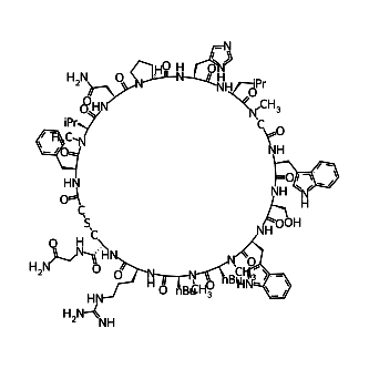 CCCC[C@H]1C(=O)N(C)[C@@H](CCCC)C(=O)N[C@@H](CCCNC(=N)N)C(=O)N[C@H](C(=O)NCC(N)=O)CSCC(=O)N[C@@H](Cc2ccccc2)C(=O)N(C)[C@@H](C(C)C)C(=O)N[C@@H](CC(N)=O)C(=O)N2CCC[C@H]2C(=O)N[C@@H](Cc2cnc[nH]2)C(=O)N[C@@H](CC(C)C)C(=O)N(C)CC(=O)N[C@@H](Cc2c[nH]c3ccccc23)C(=O)N[C@@H](CO)C(=O)N[C@@H](Cc2c[nH]c3ccccc23)C(=O)N1C